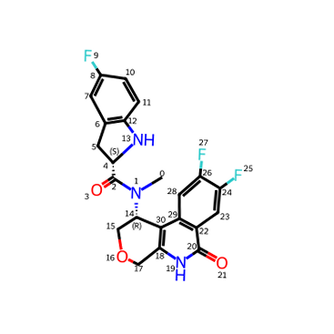 CN(C(=O)[C@@H]1Cc2cc(F)ccc2N1)[C@H]1COCc2[nH]c(=O)c3cc(F)c(F)cc3c21